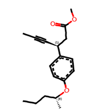 CC#C[C@@H](CC(=O)OC)c1ccc(O[C@H](C)CCC)cc1